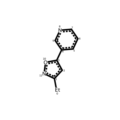 CCc1cc(-c2cccnc2)on1